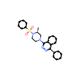 C[C@H]1CN(c2nnc(-c3ccccc3)c3ccccc23)CCN1S(=O)(=O)c1ccccc1